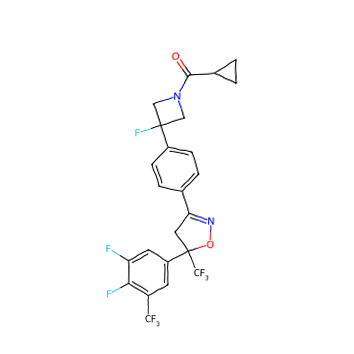 O=C(C1CC1)N1CC(F)(c2ccc(C3=NOC(c4cc(F)c(F)c(C(F)(F)F)c4)(C(F)(F)F)C3)cc2)C1